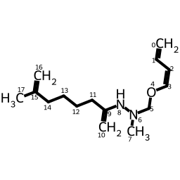 C=C/C=C\OCN(C)NC(=C)CCCCC(=C)C